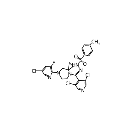 Cc1ccc(S(=O)(=O)N/N=C(/c2c(Cl)cncc2Cl)N2CCN(c3ncc(Cl)cc3F)CC23CC3)cc1